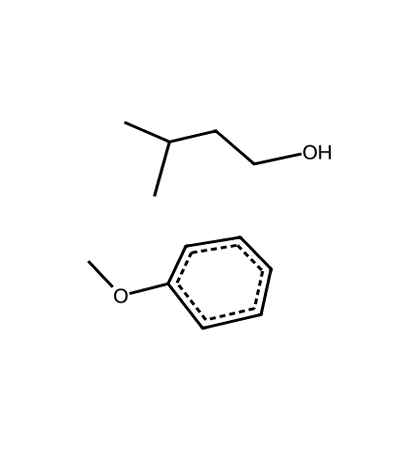 CC(C)CCO.COc1ccccc1